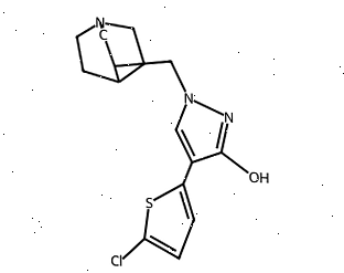 Oc1nn(CC2CN3CCC2CC3)cc1-c1ccc(Cl)s1